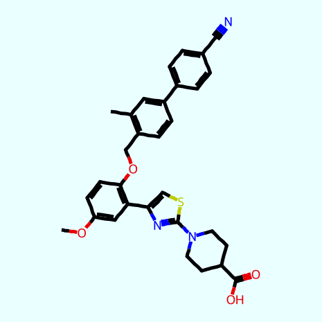 COc1ccc(OCc2ccc(-c3ccc(C#N)cc3)cc2C)c(-c2csc(N3CCC(C(=O)O)CC3)n2)c1